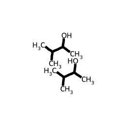 CC(C)C(C)O.CC(C)C(C)O